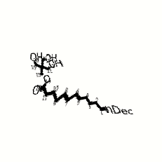 CCCCCCCCCCCCCCCCCCCCCC(=O)OCC(CO)(CO)CO